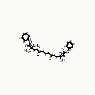 CC(C)(CCC(=O)CCCC(=O)CCC(C)(C)C(=O)Oc1ccccc1)CC(=O)Oc1ccccc1